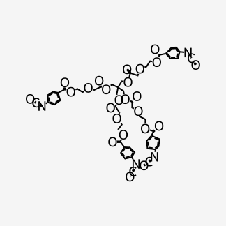 O=C=Nc1ccc(C(=O)OCCOCC(=O)OCC(COC(=O)COCCOC(=O)c2ccc(N=C=O)cc2)(COC(=O)COCCOC(=O)c2ccc(N=C=O)cc2)COC(=O)COCCOC(=O)c2ccc(N=C=O)cc2)cc1